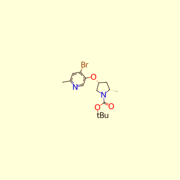 Cc1cc(Br)c(O[C@@H]2C[C@H](C)N(C(=O)OC(C)(C)C)C2)cn1